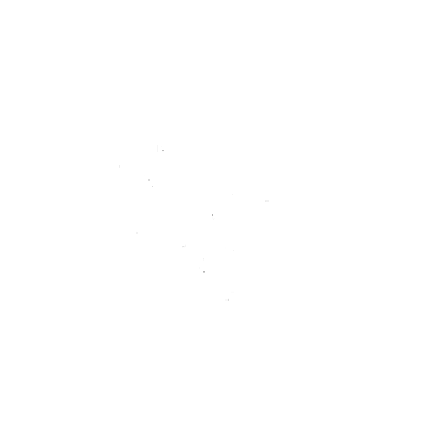 C=C[C@H](O[Si](C)(C)C(C)(C)C)[C@H](/C=C\CCO)O[Si](C)(C)C(C)(C)C